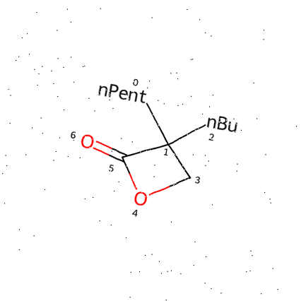 CCCCCC1(CCCC)COC1=O